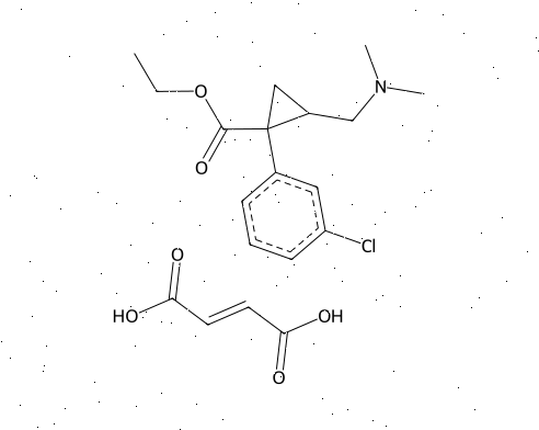 CCOC(=O)C1(c2cccc(Cl)c2)CC1CN(C)C.O=C(O)C=CC(=O)O